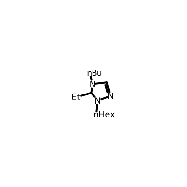 CCCCCCN1N=CN(CCCC)C1CC